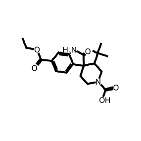 CCOC(=O)c1ccc(C2(C(N)=O)CCN(C(=O)O)CC2C(C)(C)C)cc1